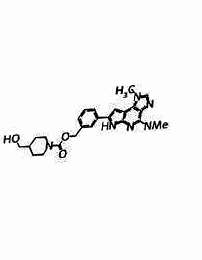 CNc1nc2[nH]c(-c3cccc(COC(=O)N4CCC(CO)CC4)c3)cc2c2c1ncn2C